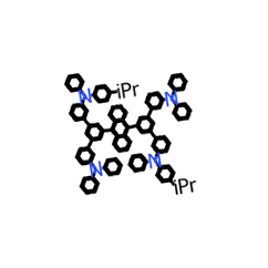 CC(C)c1ccc(N(c2ccccc2)c2cccc(-c3cc(-c4cccc(N(c5ccccc5)c5ccccc5)c4)cc(-c4c5ccccc5c(-c5cc(-c6cccc(N(c7ccccc7)c7ccccc7)c6)cc(-c6cccc(N(c7ccccc7)c7ccc(C(C)C)cc7)c6)c5)c5ccccc45)c3)c2)cc1